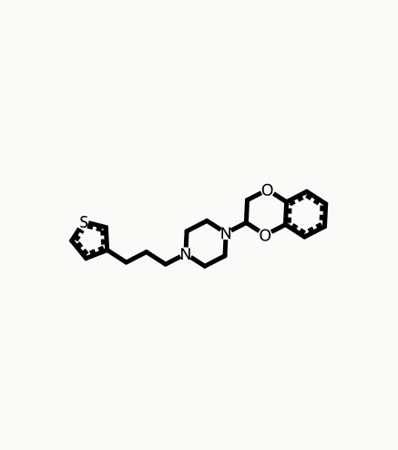 c1ccc2c(c1)OCC(N1CCN(CCCc3ccsc3)CC1)O2